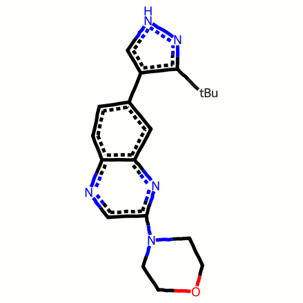 CC(C)(C)c1n[nH]cc1-c1ccc2ncc(N3CCOCC3)nc2c1